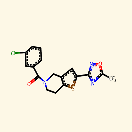 O=C(c1cccc(Cl)c1)N1CCc2sc(-c3noc(C(F)(F)F)n3)cc2C1